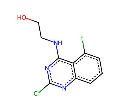 OCCNc1nc(Cl)nc2cccc(F)c12